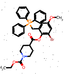 CCOC(=O)N1CCC(C(=O)Oc2c(Br)cc(OC)cc2C[PH](c2ccccc2)(c2ccccc2)c2ccccc2)CC1